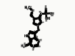 CSCC1CN(Cc2c[nH]c3c(N)ncnc23)CC1OP(=O)(O)O